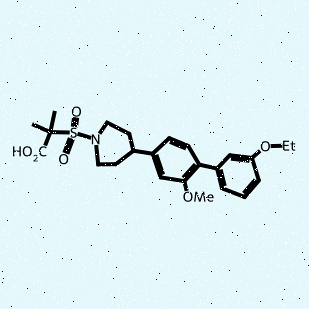 CCOc1cccc(-c2ccc(C3CCN(S(=O)(=O)C(C)(C)C(=O)O)CC3)cc2OC)c1